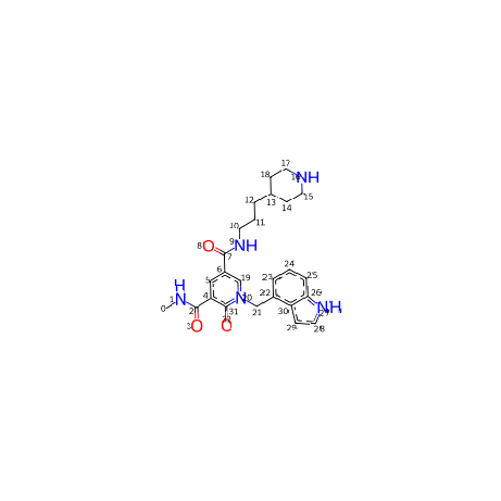 CNC(=O)c1cc(C(=O)NCCCC2CCNCC2)cn(Cc2cccc3[nH]ccc23)c1=O